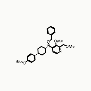 CCC(C)Oc1ccc([C@H]2CC[C@@H](N(OCc3ccccc3)c3ccnc(COC)c3OC)CC2)cc1